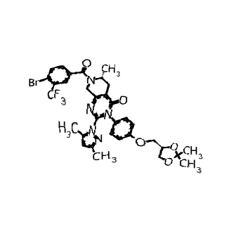 Cc1cc(C)n(-c2nc3c(c(=O)n2-c2ccc(OC[C@@H]4COC(C)(C)O4)cc2)C[C@@H](C)N(C(=O)c2ccc(Br)c(C(F)(F)F)c2)C3)n1